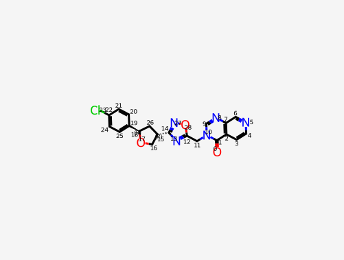 O=c1c2ccncc2ncn1Cc1nc([C@@H]2CO[C@@H](c3ccc(Cl)cc3)C2)no1